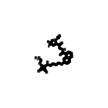 CCOc1c(NCCCCOc2ccc3nccc(C(=O)NCC(=O)N4CC(F)(F)C[C@H]4C#N)c3c2)c(=O)c1=O